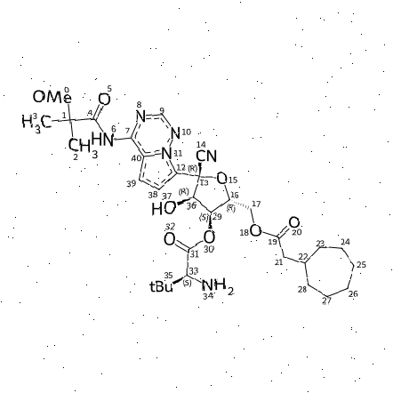 COC(C)(C)C(=O)Nc1ncnn2c([C@]3(C#N)O[C@H](COC(=O)CC4CCCCCC4)[C@@H](OC(=O)[C@@H](N)C(C)(C)C)[C@H]3O)ccc12